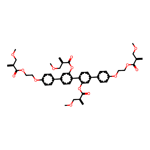 C=C(COC)C(=O)OCCOc1ccc(-c2ccc(-c3ccc(-c4ccc(OCCOC(=O)C(=C)COC)cc4)cc3OC(=O)C(=C)COC)c(OC(=O)C(=C)COC)c2)cc1